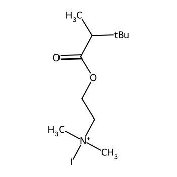 CC(C(=O)OCC[N+](C)(C)I)C(C)(C)C